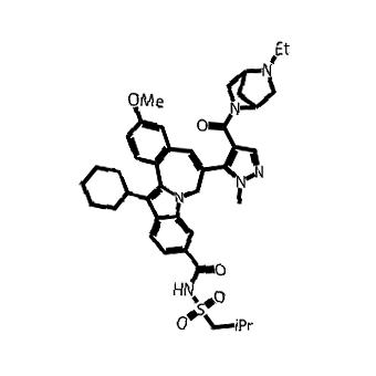 CCN1CC2CC1CN2C(=O)c1cnn(C)c1C1=Cc2cc(OC)ccc2-c2c(C3CCCCC3)c3ccc(C(=O)NS(=O)(=O)CC(C)C)cc3n2C1